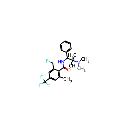 Cc1cc(C(F)(F)F)cc(CF)c1C(=O)NC(c1ccccc1)C(C)(C)N(C)C